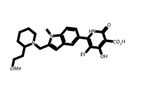 CCc1c(-c2ccc3c(c2)cc(CN2CCCCC2CCOC)n3C)[nH]c(=O)c(C(=O)O)c1O